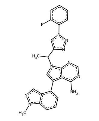 CC(c1cn(-c2ccccc2F)nn1)n1cc(-c2cccc3c2cnn3C)c2c(N)ncnc21